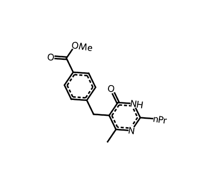 CCCc1nc(C)c(Cc2ccc(C(=O)OC)cc2)c(=O)[nH]1